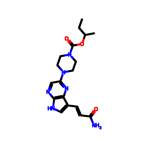 CCC(C)OC(=O)N1CCN(c2cnc3[nH]cc(C=CC(N)=O)c3n2)CC1